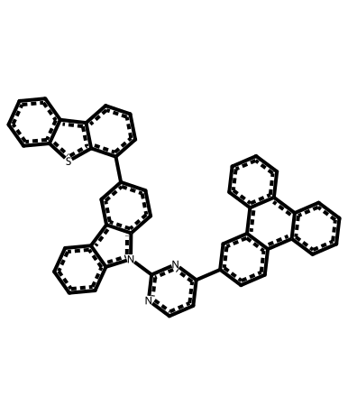 c1ccc2c(c1)sc1c(-c3ccc4c(c3)c3ccccc3n4-c3nccc(-c4ccc5c6ccccc6c6ccccc6c5c4)n3)cccc12